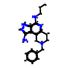 CCCNc1nc2c(c3c(N)n[nH]c13)CN(Cc1ccccc1)CC2